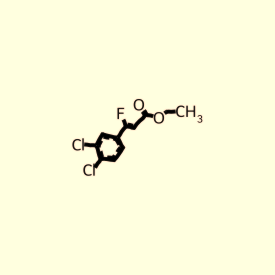 CCOC(=O)C=C(F)c1ccc(Cl)c(Cl)c1